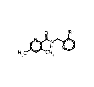 Cc1cnc(C(=O)NCc2ncccc2C(C)C)c(C)c1